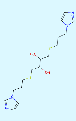 OC(CSCCCn1ccnc1)C(O)CSCCCn1ccnc1